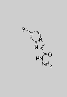 NNC(=O)c1cn2ccc(Br)cc2n1